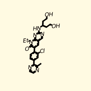 CCn1c(=O)c(-c2ccc(-c3nccnc3C)cc2Cl)cc2cnc(NC(CCO)CCO)nc21